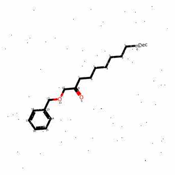 CCCCCCCCCCCCCCCCCC(=O)COCc1ccccc1